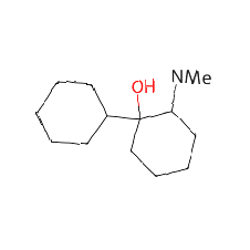 CNC1CCCCC1(O)C1CCCCC1